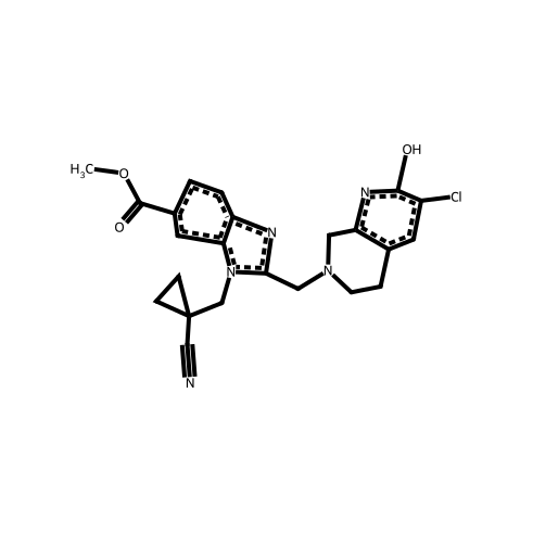 COC(=O)c1ccc2nc(CN3CCc4cc(Cl)c(O)nc4C3)n(CC3(C#N)CC3)c2c1